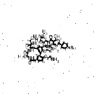 Cc1nc(-c2ccc(C(C)(C)C)cc2)nc(C)c1C(=O)N[C@@H](CC(C)(C)N)C(=O)N(C)c1cc2cc(c1OCCN)-c1cc(ccc1OCCN)CC(=O)NC(C)C(=O)NC(C(=O)NCC#N)C2